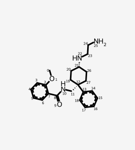 COc1ccccc1C(=O)NC[C@]1(c2ccccc2)CC[C@H](NCCN)CC1